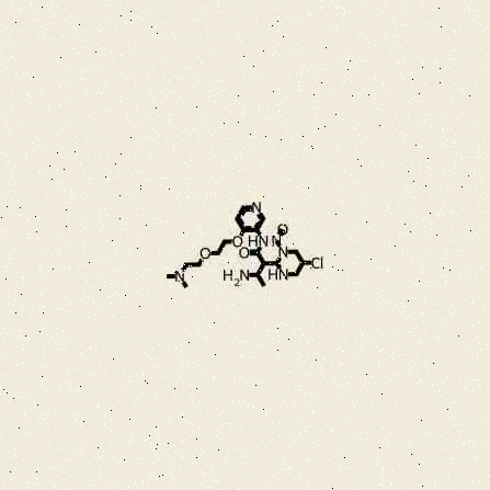 CC(N)C(C(=O)Nc1cnccc1OCCOCCN(C)C)C1NCC(Cl)CN1N=O